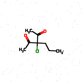 [CH2]CCC(Cl)(C(C)=O)C(C)=O